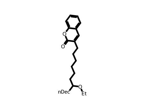 CCCCCCCCCCC(CCCCCCc1cc2ccccc2oc1=O)OCC